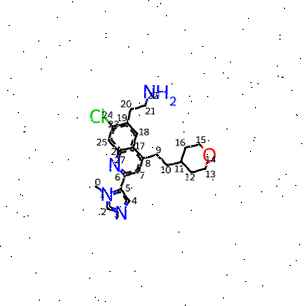 Cn1cncc1-c1cc(CCC2CCOCC2)c2cc(CCN)c(Cl)cc2n1